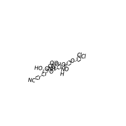 CC(C)COC(=O)N1Cc2cc3c(cc2CC1C(=O)N[C@@H](Cc1ccc(-c2ccc(C#N)cc2)cc1)C(=O)O)NC(=O)[C@H](c1ccc(OCc2ccc(Cl)c(Cl)c2)cc1)O3